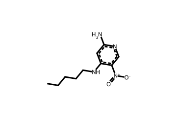 CCCCCNc1cc(N)ncc1[N+](=O)[O-]